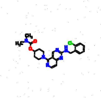 CN(C)C(=O)OC1CCN(c2nccc3nc(NCc4ccccc4Cl)ncc23)CC1